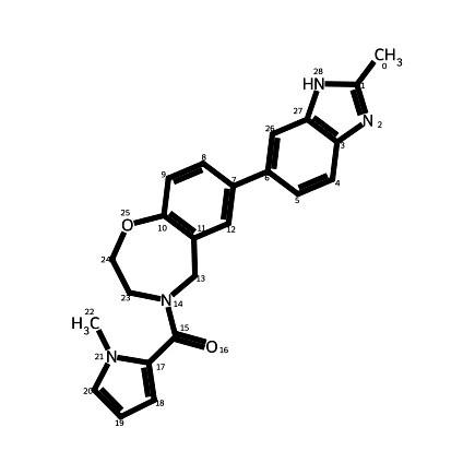 Cc1nc2ccc(-c3ccc4c(c3)CN(C(=O)c3cccn3C)CCO4)cc2[nH]1